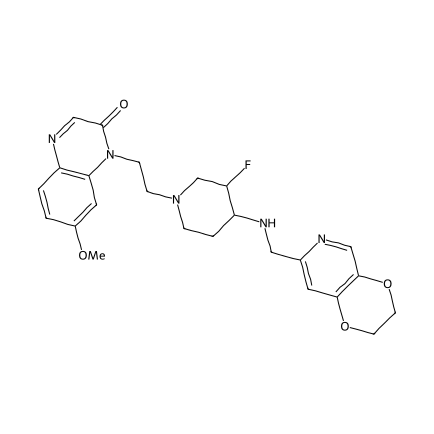 COc1ccc2ncc(=O)n(CCN3CCC(NCc4cc5c(cn4)OCCO5)C(F)C3)c2c1